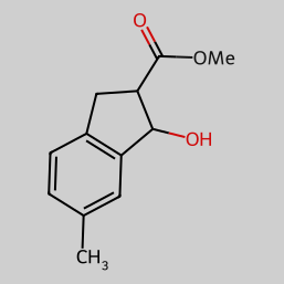 COC(=O)C1Cc2ccc(C)cc2C1O